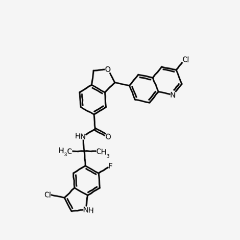 CC(C)(NC(=O)c1ccc2c(c1)C(c1ccc3ncc(Cl)cc3c1)OC2)c1cc2c(Cl)c[nH]c2cc1F